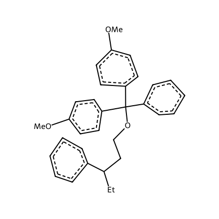 CCC(CCOC(c1ccccc1)(c1ccc(OC)cc1)c1ccc(OC)cc1)c1ccccc1